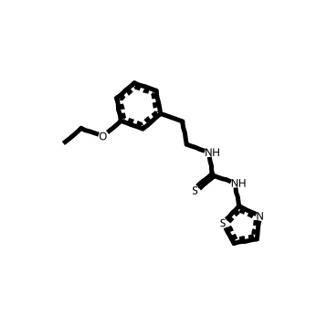 CCOc1cccc(CCNC(=S)Nc2nccs2)c1